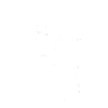 COc1cc(-c2c[nH]c(/C(=C\C=N)N3CC4CCC(C3)N4)c2)c(F)cn1